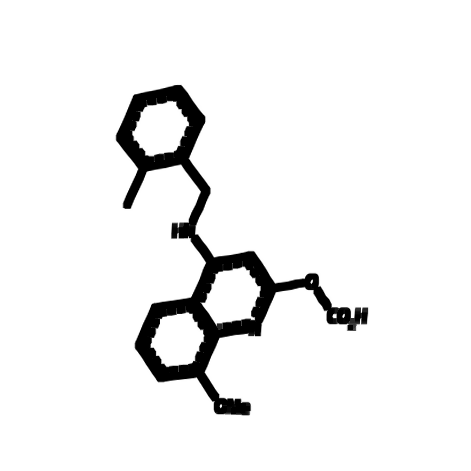 COc1cccc2c(NCc3ccccc3C)cc(OC(=O)O)nc12